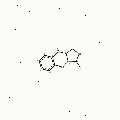 FC1NCC2Oc3ccccc3OC12